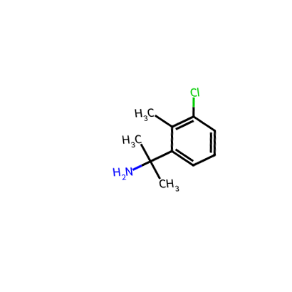 Cc1c(Cl)cccc1C(C)(C)N